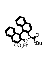 CCOC(=O)Oc1ccc2ccccc2c1-c1c(OC(=O)C(C)(C)C)ccc2ccccc12